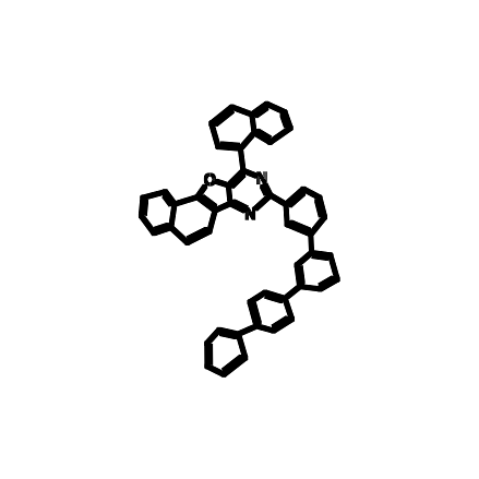 c1ccc(-c2ccc(-c3cccc(-c4cccc(-c5nc(-c6cccc7ccccc67)c6oc7c8ccccc8ccc7c6n5)c4)c3)cc2)cc1